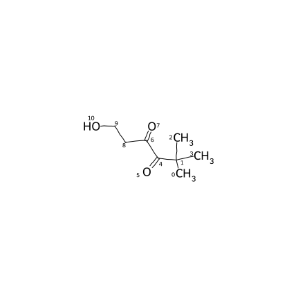 CC(C)(C)C(=O)C(=O)CCO